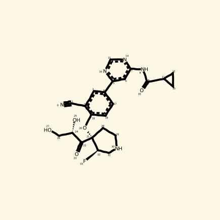 N#Cc1cc(-c2cc(NC(=O)C3CC3)ncn2)ccc1O[C@]1(C(=O)[C@@H](O)CO)CCNC[C@H]1F